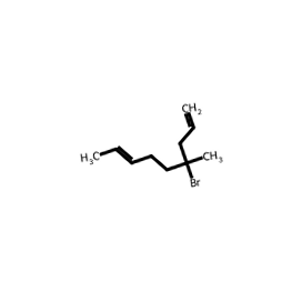 C=CCC(C)(Br)CC/C=C/C